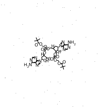 CC(C)(C)C(=O)OCOP1(=O)OC[C@H]2O[C@@H](n3cnc4c(N)ncnc43)C[C@H]2OP(=O)(OCOC(=O)C(C)(C)C)OC[C@H]2C[C@@H](n3cnc4c(N)ncnc43)[C@@H](F)[C@H]2O1